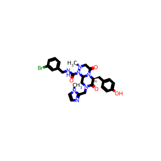 CN1CC(=O)N2C(CN(Cc3nccn3C)C(=O)[C@@H]2Cc2ccc(O)cc2)N1C(=O)NCc1cccc(Br)c1